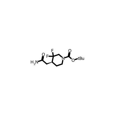 CC(C)(C)OC(=O)N1CC[C@@H](CC(N)=O)C(F)(F)C1